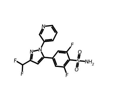 NS(=O)(=O)c1c(F)cc(-c2cc(C(F)F)nn2-c2cccnc2)cc1F